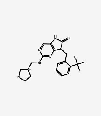 O=c1[nH]c2cnc(NC[C@H]3CCNC3)nc2n1Cc1ccccc1C(F)(F)F